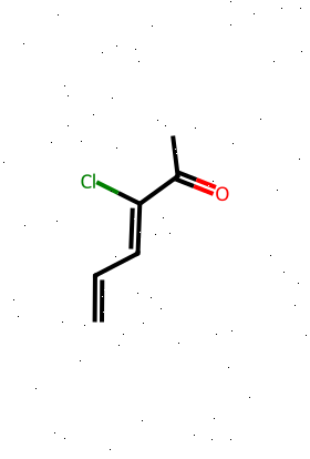 C=CC=C(Cl)C(C)=O